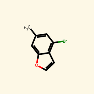 FC(F)(F)c1cc(Br)c2ccoc2c1